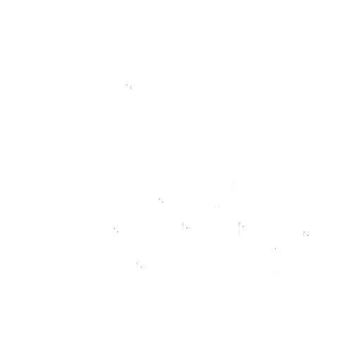 Cc1ccnc2ccc(-c3c(-c4ccc(F)cc4)nc(N)c4nc(C(=O)NC5CCN(C)C5=O)cn34)cc12